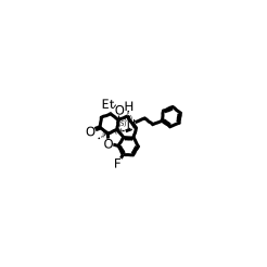 CCO[C@@]12CCC(=O)[C@]3(C)Oc4c(F)ccc5c4[C@@]31CCN(CCc1ccccc1)[C@@H]2C5